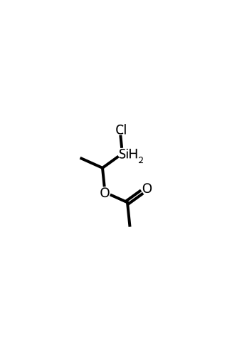 CC(=O)OC(C)[SiH2]Cl